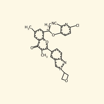 Cc1cc([C@@H](C)Oc2ccc(Cl)nc2C#N)c2oc(-c3ccc4nn(C5COC5)cc4c3)c(C)c(=O)c2c1